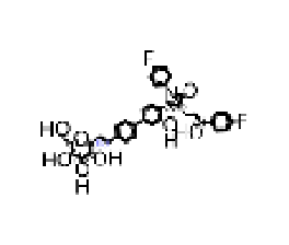 O=C1[C@H](CC[C@H](O)c2ccc(F)cc2)[C@@H](c2ccc(-c3ccc(/C=C/[C@@H]4O[C@H](CO)[C@@H](O)[C@H](O)[C@H]4O)cc3)cc2O)N1c1ccc(F)cc1